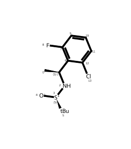 C[C@H](N[S@+]([O-])C(C)(C)C)c1c(F)cccc1Cl